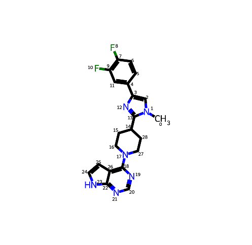 Cn1cc(-c2ccc(F)c(F)c2)nc1C1CCN(c2ncnc3[nH]ccc23)CC1